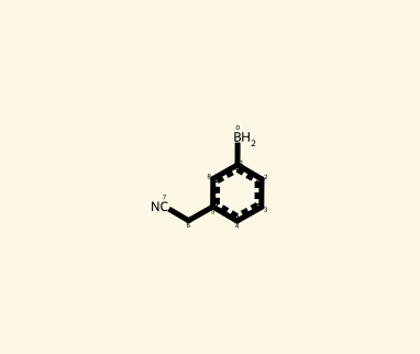 Bc1cccc(CC#N)c1